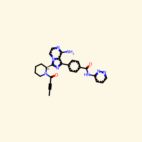 CC#CC(=O)N1CCCC[C@H]1c1nc(-c2ccc(C(=O)Nc3cccnn3)cc2)c2c(N)nccn12